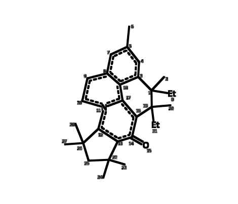 CCC1(C)c2cc(C)cc3ccn4c5c(c(=O)c(c4c23)C1(C)CC)C(C)(C)CC5(C)C